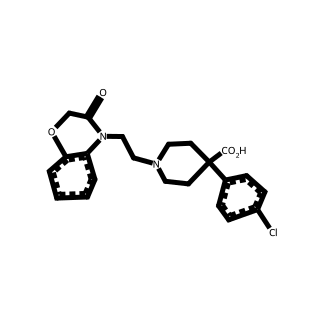 O=C1COc2ccccc2N1CCN1CCC(C(=O)O)(c2ccc(Cl)cc2)CC1